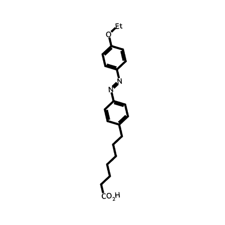 CCOc1ccc(N=Nc2ccc(CCCCCCC(=O)O)cc2)cc1